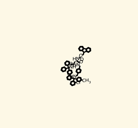 Cc1ccc(C(NCc2ccc(CNC(=O)[C@H](CCC(=O)NC(c3ccccc3)(c3ccccc3)c3ccccc3)NC(=O)OCC3c4ccccc4-c4ccccc43)cc2)(c2ccccc2)c2ccccc2Cl)cc1